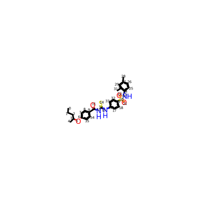 CCCC(C)Oc1ccc(C(=O)NC(=S)Nc2ccc(S(=O)(=O)Nc3ccc(C)cc3C)cc2)cc1